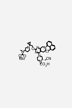 CN(C(=O)OC(C)(C)C)C1CCN(C2(COc3nc4c(c(N5CCN(C(=O)O)[C@@H](CC#N)C5)n3)CCN(c3cccc5cccc(Cl)c35)C4)CC2)C1